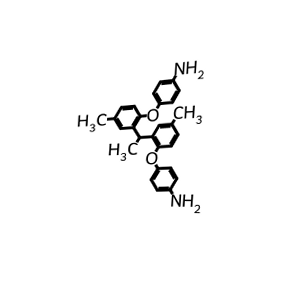 Cc1ccc(Oc2ccc(N)cc2)c(C(C)c2cc(C)ccc2Oc2ccc(N)cc2)c1